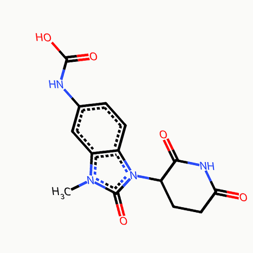 Cn1c(=O)n(C2CCC(=O)NC2=O)c2ccc(NC(=O)O)cc21